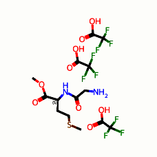 COC(=O)[C@H](CCSC)NC(=O)CN.O=C(O)C(F)(F)F.O=C(O)C(F)(F)F.O=C(O)C(F)(F)F